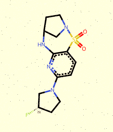 O=S1(=O)c2ccc(N3CC[C@H](F)C3)nc2NC2CCN1C2